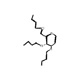 CCCCOC[C@H]1OC=C[C@@H](OCCCC)[C@@H]1OCCCC